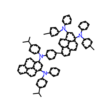 Cc1ccc(N(c2ccccc2)c2cc(N(c3ccccc3)c3ccc(C)cc3)c3ccc4c(-c5ccc(N(c6ccc(C(C)C)cc6)c6cc(N(c7ccccc7)c7ccc(C(C)C)cc7)c7ccc8cccc9ccc6c7c89)cc5)ccc5ccc2c3c54)cc1